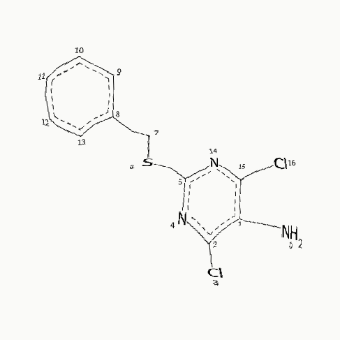 Nc1c(Cl)nc(SCc2ccccc2)nc1Cl